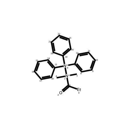 CCC(=O)[N+](C)(C)[N+](c1ccccc1)(c1ccccc1)c1ccccc1